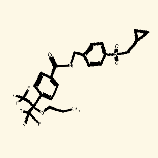 CCCOC(c1ccc(C(=O)NCc2ccc(S(=O)(=O)CC3CC3)cc2)cc1)(C(F)(F)F)C(F)(F)F